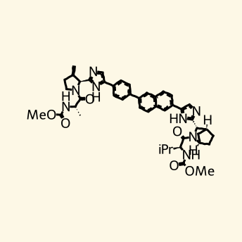 C=C1CCN(C(=O)[C@H](C)NC(=O)OC)[C@@H]1c1ncc(-c2ccc(-c3ccc4cc(-c5cnc([C@@H]6[C@H]7CC[C@H](C7)N6C(=O)[C@@H](NC(=O)OC)C(C)C)[nH]5)ccc4c3)cc2)[nH]1